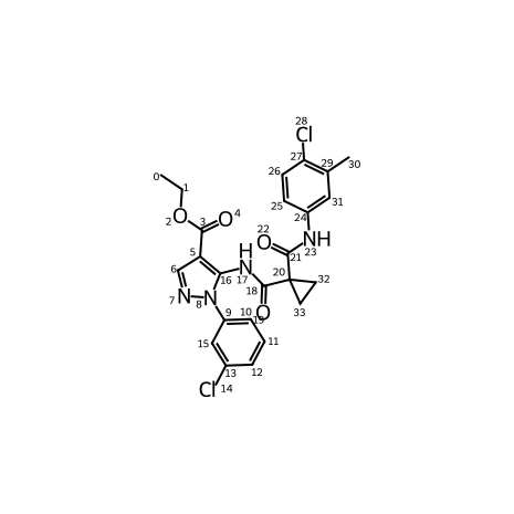 CCOC(=O)c1cnn(-c2cccc(Cl)c2)c1NC(=O)C1(C(=O)Nc2ccc(Cl)c(C)c2)CC1